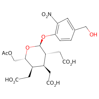 CC(=O)OC[C@@H]1O[C@@H](Oc2ccc(CO)cc2[N+](=O)[O-])[C@H](CC(=O)O)[C@@H](CC(=O)O)[C@H]1CC(=O)O